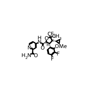 COc1c([C@@H]2[C@@H](C(=O)Nc3ccnc(C(N)=O)c3)O[C@@](C)(C(F)(F)F)[C@@H]2C2CC2)ccc(F)c1F